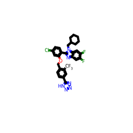 Fc1cc2nc(-c3ccc(Cl)cc3OCc3ccc(-c4nnn[nH]4)cc3C(F)(F)F)n(CC3CCCCC3)c2cc1F